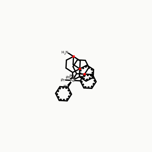 C[CH](C)[Pd]([PH2])([c]1ccccc1)([c]1ccccc1)([c]1ccccc1CCN)([CH](C)C)([CH](C)C)([CH]1CCCCC1)[CH]1CCCCC1